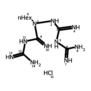 CCCCCCN(NC(=N)NC(=N)N)C(=N)NC(=N)N.Cl